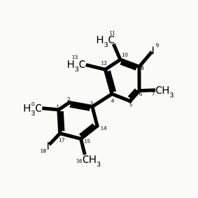 Cc1cc(-c2cc(C)c(I)c(C)c2C)cc(C)c1I